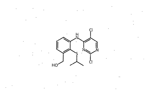 CC(C)Sc1c(CO)cccc1Nc1nc(Cl)ncc1Cl